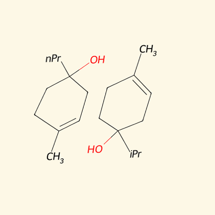 CC1=CCC(O)(C(C)C)CC1.CCCC1(O)CC=C(C)CC1